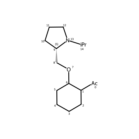 CC(=O)C1CCCCC1OC[C@@H]1CCCN1C(C)C